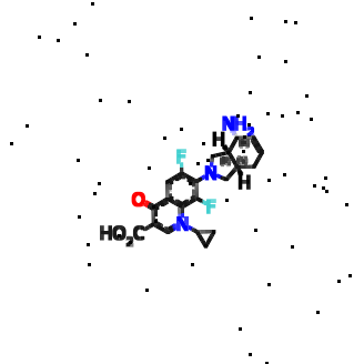 N[C@@H]1C=CC[C@@H]2CN(c3c(F)cc4c(=O)c(C(=O)O)cn(C5CC5)c4c3F)C[C@@H]21